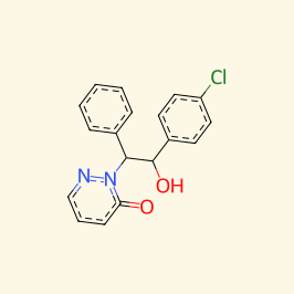 O=c1cccnn1C(c1ccccc1)C(O)c1ccc(Cl)cc1